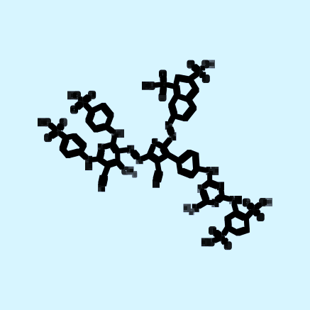 Cc1c(C#N)c(Nc2ccc(S(=O)(=O)O)cc2)nc(Nc2ccc(S(=O)(=O)O)cc2)c1N=Nc1sc(/N=N/c2ccc3cc(S(=O)(=O)O)cc(S(=O)(=O)O)c3c2)c(-c2ccc(Nc3nc(N)nc(Nc4cc(S(=O)(=O)O)ccc4S(=O)(=O)O)n3)cc2)c1C#N